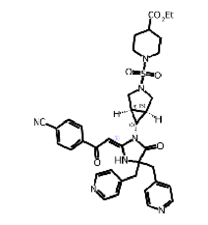 CCOC(=O)C1CCN(S(=O)(=O)N2C[C@@H]3[C@H](C2)[C@H]3N2C(=O)C(Cc3ccncc3)(Cc3ccncc3)N/C2=C\C(=O)c2ccc(C#N)cc2)CC1